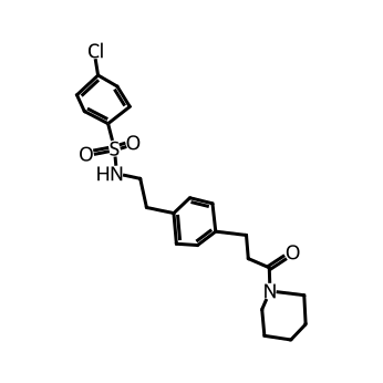 O=C(CCc1ccc(CCNS(=O)(=O)c2ccc(Cl)cc2)cc1)N1CCCCC1